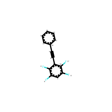 Fc1cc(F)c(F)c(C#Cc2ccccc2)c1F